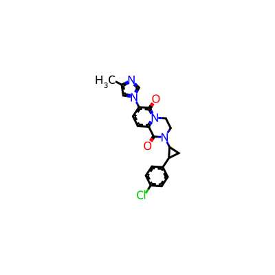 Cc1cn(-c2ccc3n(c2=O)CCN(C2CC2c2ccc(Cl)cc2)C3=O)cn1